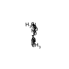 COCc1cnc(N2CCC([C@H]3C[C@H]3CCOc3ccc(CC(=O)N4CCc5nc(C)oc5C4)c(F)c3)CC2)c(I)c1